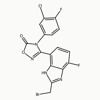 O=c1onc(-c2ccc(F)c3nc(CBr)[nH]c23)n1-c1ccc(F)c(Cl)c1